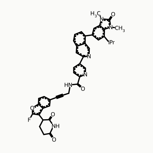 CC(C)c1cc(-c2cccc3cc(-c4ccc(C(=O)NCC#Cc5ccc6oc(F)c(C7CCC(=O)NC7=O)c6c5)nc4)ncc23)cc2c1n(C)c(=O)n2C